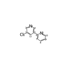 Clc1cncc(-c2cc[c]cn2)c1